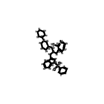 O=S(=O)(c1ccccc1)n1cc(CN(Cc2cccnc2F)CC2CCCN(C3CCCCC3)C2)c2ccccc21